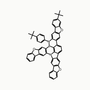 CC(C)(C)c1ccc(N2B3c4cc5oc6ccccc6c5cc4-n4c5cc6c(cc5c5ccc(c3c54)-c3cc4oc5cc(C(C)(C)C)ccc5c4cc32)oc2ccccc26)cc1